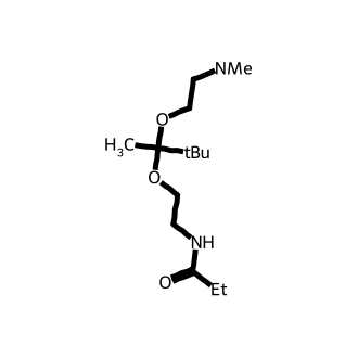 CCC(=O)NCCOC(C)(OCCNC)C(C)(C)C